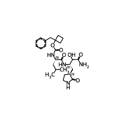 CC(C)C[C@H](NC(=O)OC1(Cc2ccccc2)CCC1)C(=O)N[C@@H](C[C@@H]1CCNC1=O)C(O)C(N)=O